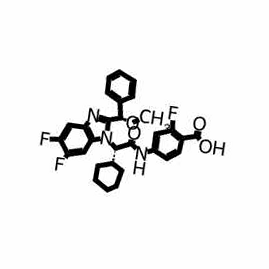 CO[C@H](c1ccccc1)c1nc2cc(F)c(F)cc2n1[C@H](C(=O)Nc1ccc(C(=O)O)c(F)c1)C1CCCCC1